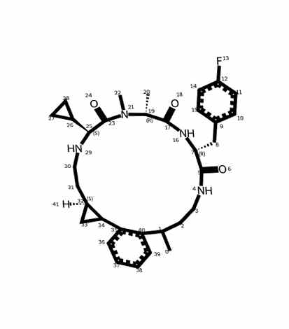 CC1CCNC(=O)[C@@H](Cc2ccc(F)cc2)NC(=O)[C@@H](C)N(C)C(=O)[C@H](C2CC2)NCC[C@@H]2CC2c2ccccc21